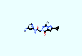 C=N/C(=C\C(=N/C)C(F)(F)F)NC(=O)Cn1nc(C(C)C)n2nc(C3CC3)cc2c1=O